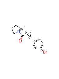 C[C@H]1CCCN1C(=O)[C@H]1C[C@@H]1c1ccc(Br)cc1